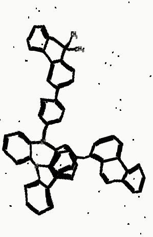 CC1(C)c2ccccc2-c2cc(-c3ccc(N(c4cccc(-c5cccc6c5ccc5ccccc56)c4)c4ccccc4-n4c5ccccc5c5ccccc54)cc3)ccc21